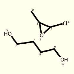 CC1OC1Cl.OCCCCO